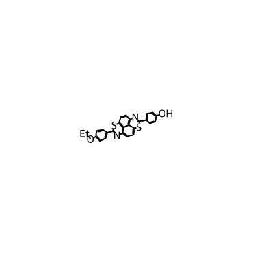 CCOc1ccc(C2=Nc3ccc4c5c(ccc(c35)S2)N=C(c2ccc(O)cc2)S4)cc1